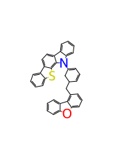 C1=CC(Cc2cccc3oc4ccccc4c23)CC(n2c3ccccc3c3ccc4c5ccccc5sc4c32)=C1